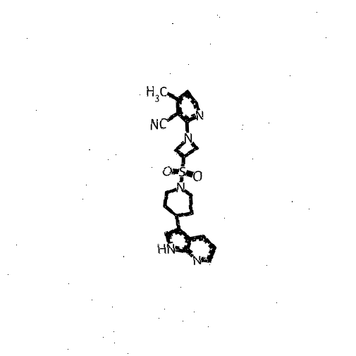 Cc1ccnc(N2CC(S(=O)(=O)N3CCC(c4c[nH]c5ncccc45)CC3)C2)c1C#N